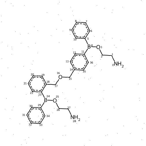 NCCOB(c1ccccc1)c1ccc(COCc2ccccc2B(OCCN)c2ccccc2)cc1